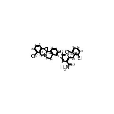 NC(=O)c1ccc(Oc2ccc3c(c2)CCN(Cc2c(Cl)cccc2Cl)C3)nc1Cc1c(Cl)cccc1Cl